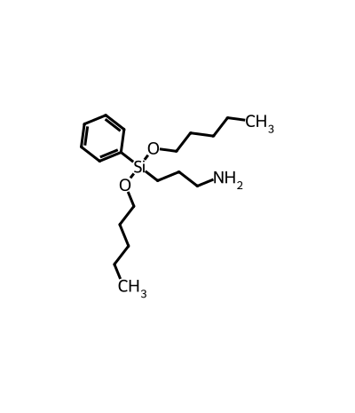 CCCCCO[Si](CCCN)(OCCCCC)c1ccccc1